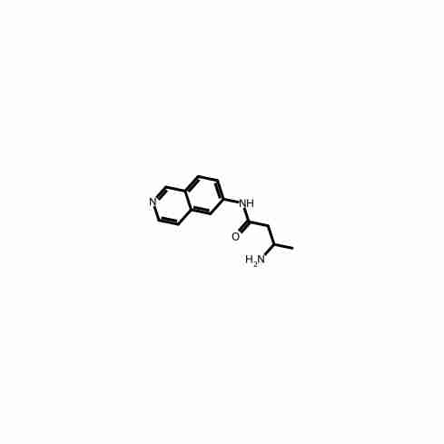 CC(N)CC(=O)Nc1ccc2cnccc2c1